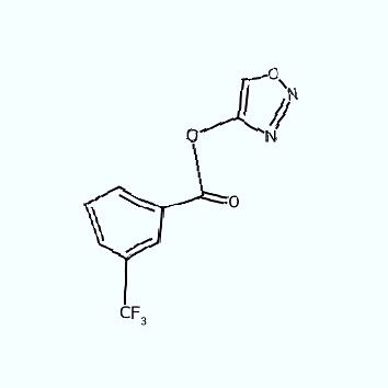 O=C(Oc1conn1)c1cccc(C(F)(F)F)c1